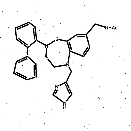 CC(=O)NCc1ccc2c(c1)SN(c1ccccc1-c1ccccc1)CCN2Cc1c[nH]cn1